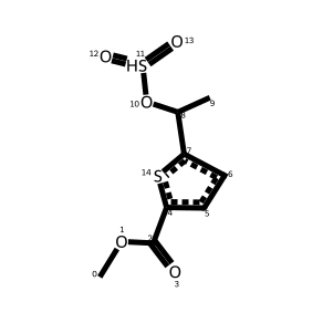 COC(=O)c1ccc(C(C)O[SH](=O)=O)s1